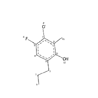 CCCc1cc(F)c(Cl)c(C)c1O